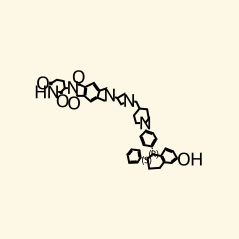 O=C1CCC(N2C(=O)c3cc4c(cc3C2=O)CN(C2CN(CC3CCN(c5ccc([C@@H]6c7ccc(O)cc7CC[C@@H]6c6ccccc6)cc5)CC3)C2)C4)C(=O)N1